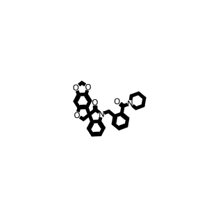 O=C(c1ccccc1CN1C(=O)C2(COc3cc4c(cc32)OCO4)c2ccccc21)N1CCCCC1